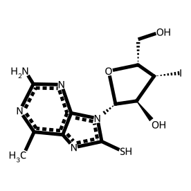 Cc1nc(N)nc2c1nc(S)n2[C@@H]1O[C@H](CO)[C@H](I)[C@H]1O